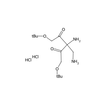 CC(C)(C)OCC(=O)C(N)(CN)C(=O)COC(C)(C)C.Cl.Cl